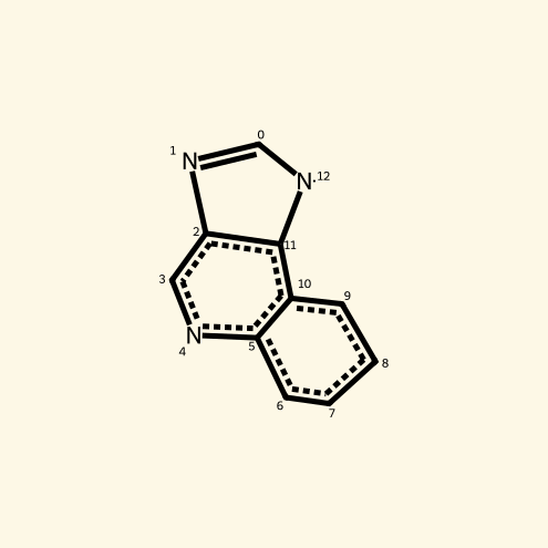 C1=Nc2cnc3ccccc3c2[N]1